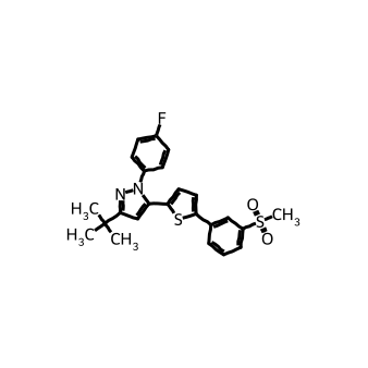 CC(C)(C)c1cc(-c2ccc(-c3cccc(S(C)(=O)=O)c3)s2)n(-c2ccc(F)cc2)n1